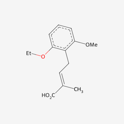 CCOc1cccc(OC)c1CC=C(C)C(=O)O